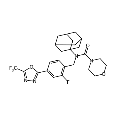 O=C(N1CCOCC1)N(Cc1ccc(-c2nnc(C(F)(F)F)o2)cc1F)C12CC3CC(CC(C3)C1)C2